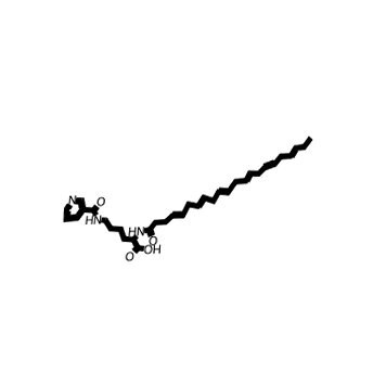 CCC=CCC=CCC=CCC=CCC=CCC=CCCC(=O)NC(CCCCNC(=O)c1cccnc1)C(=O)O